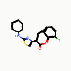 O=c1oc2c(Cl)cccc2cc1-c1csc(NC2CCCCC2)n1